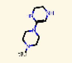 CC(C)(C)N1CCN(C2=CNCCN2)CC1